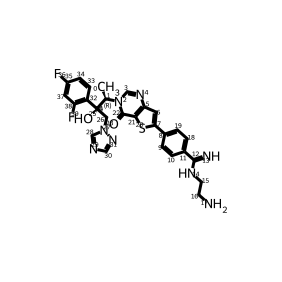 C[C@@H](n1cnc2cc(-c3ccc(C(=N)NCCN)cc3)sc2c1=O)[C@](O)(Cn1cncn1)c1ccc(F)cc1F